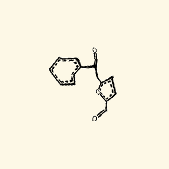 O=Cc1ccc(C(=O)c2ccccc2)o1